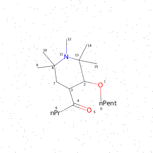 CCCCCOC1C(C(=O)CCC)CC(C)(C)N(C)C1(C)C